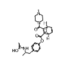 CB(O)NC(C)Cc1ccc(OC(=O)C2C(C(=O)N3CCN(C)CC3)[C@@H]3C=C[C@H]2O3)cc1